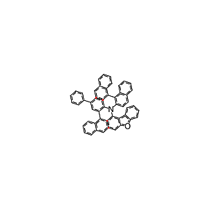 c1ccc(-c2ccc(N(c3ccc4ccccc4c3-c3cccc4ccccc34)c3cccc4oc5ccccc5c34)c(-c3cccc4ccccc34)c2)cc1